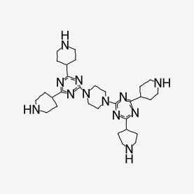 C1CC(c2nc(C3CCNCC3)nc(N3CCN(c4nc(C5CCNCC5)nc(C5CCNCC5)n4)CC3)n2)CCN1